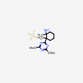 COc1nc(OC)nc(C2(C)CCCCC2(C)[NH3+])n1.F[B-](F)(F)F